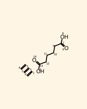 C=C.C=C.C=C.O=C(O)CCCCC(=O)O